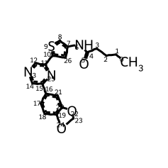 CCCCC(=O)Nc1csc(-c2cncc(-c3ccc4c(c3)OCO4)n2)c1